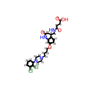 O=C(O)CCC(=O)NCC1CC(=O)Nc2cc(OCCCCN3CCN(c4cccc(Cl)c4Cl)CC3)ccc21